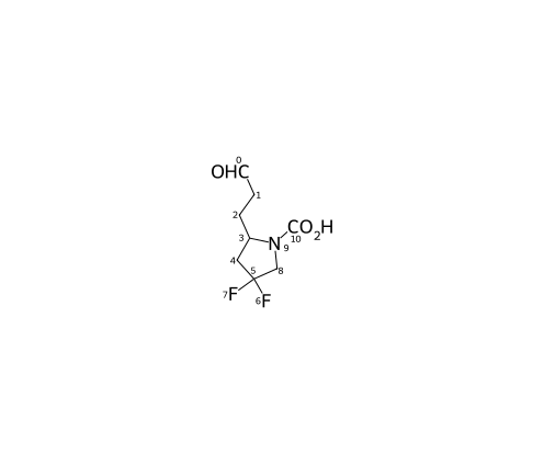 O=CCCC1CC(F)(F)CN1C(=O)O